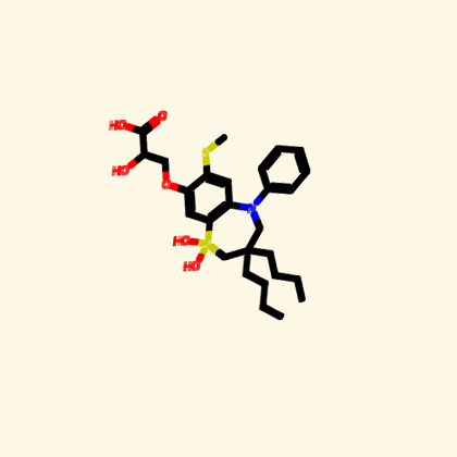 CCCCC1(CCCC)CN(c2ccccc2)c2cc(SC)c(OCC(O)C(=O)O)cc2S(O)(O)C1